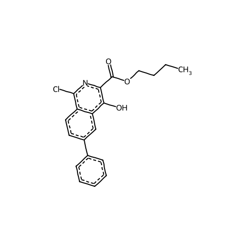 CCCCOC(=O)c1nc(Cl)c2ccc(-c3ccccc3)cc2c1O